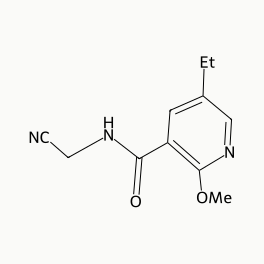 CCc1cnc(OC)c(C(=O)NCC#N)c1